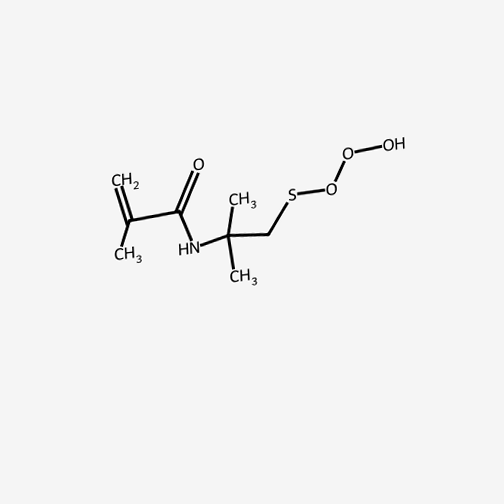 C=C(C)C(=O)NC(C)(C)CSOOO